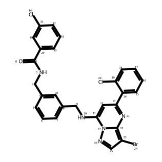 O=C(NCc1cccc(CNc2cc(-c3ccccc3Cl)nc3c(Br)cnn23)c1)c1cccc(Cl)c1